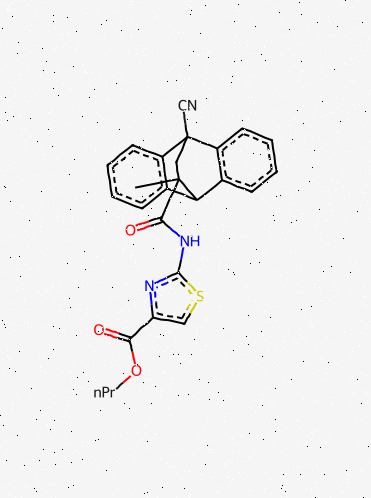 CCCOC(=O)c1csc(NC(=O)C2(C)CC3(C#N)c4ccccc4C2c2ccccc23)n1